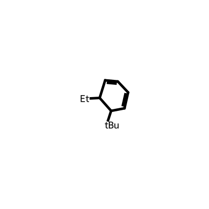 CCC1C=CC=C[C]1C(C)(C)C